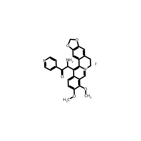 COc1ccc2c(C(N)C(=O)c3ccncc3)c3[n+](cc2c1OC)CCc1cc2c(cc1-3)OCO2.[I-]